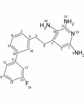 Nc1cc(CCc2cccc(-c3cccc(F)c3)c2)c(N)c(N)n1